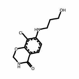 O=C1NCOc2c1ccc(NCCCO)c2Cl